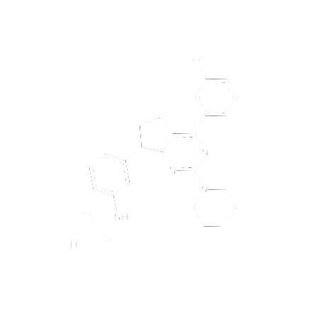 CS(=O)(=O)Nc1cccc(C2CCc3c(-c4cccc(O)c4)nc(N4CCOCC4)nc32)c1